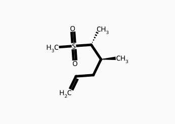 C=CC[C@H](C)[C@@H](C)S(C)(=O)=O